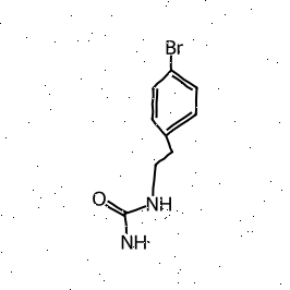 [NH]C(=O)NCCc1ccc(Br)cc1